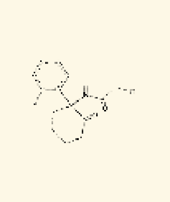 O=C(CCl)NC1(c2ccccc2F)CCCCC1=O